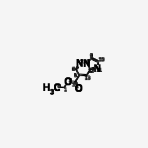 CCOC(=O)c1cnn2ccnc2c1